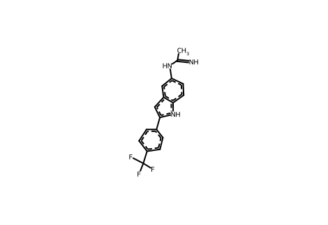 CC(=N)Nc1ccc2[nH]c(-c3ccc(C(F)(F)F)cc3)cc2c1